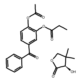 CC1(C)COC(=O)[C@@H]1O.CCC(=O)Oc1cc(C(=O)c2ccccc2)ccc1OC(C)=O